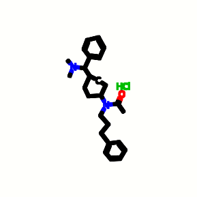 CC(=O)N(CCCc1ccccc1)C1CCC(C(c2ccccc2)N(C)C)CC1.Cl